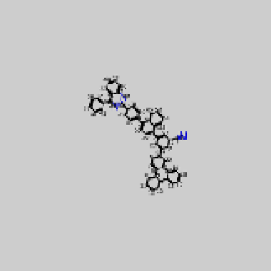 N#Cc1cc(-c2ccc3c4ccccc4c4ccccc4c3c2)cc(-c2ccc(-c3ccc(-c4nc(-c5ccccc5)c5ccccc5n4)cc3)c3ccccc23)c1